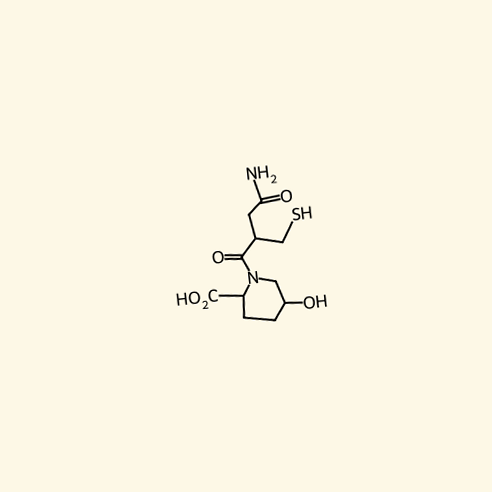 NC(=O)CC(CS)C(=O)N1CC(O)CCC1C(=O)O